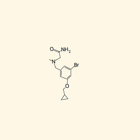 CN(CC(N)=O)Cc1cc(Br)cc(OCC2CC2)c1